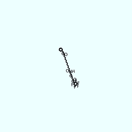 O=C(CCCCCCCCCCC(=O)OCc1ccccc1)NCCOCCC(=O)Oc1c(F)c(F)c(F)c(F)c1F